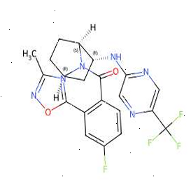 Cc1noc(-c2cc(F)ccc2C(=O)N2[C@@H]3CC[C@H]2[C@H](Nc2cnc(C(F)(F)F)cn2)C3)n1